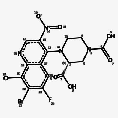 O=C(O)[C@H]1CN(C(=O)O)CCN1c1c([N+](=O)[O-])cnc2c(Cl)c(Br)c(F)cc12